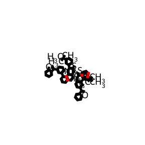 CC(C)(C)c1ccc2sc3c(c2c1)N(c1ccc(-c2coc4ccccc24)cc1-c1ccccc1)c1cccc2c1B3c1sc3ccc(C(C)(C)C)cc3c1N2c1ccc(-c2coc3ccccc23)cc1-c1ccccc1